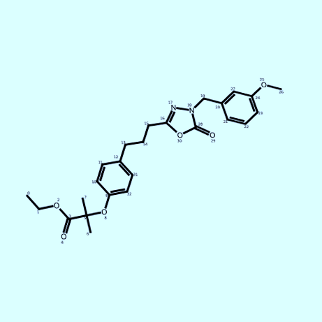 CCOC(=O)C(C)(C)Oc1ccc(CCCc2nn(Cc3cccc(OC)c3)c(=O)o2)cc1